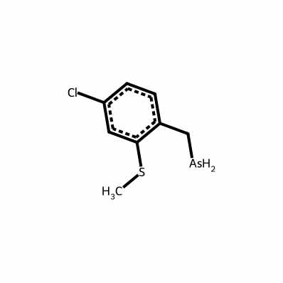 CSc1cc(Cl)ccc1C[AsH2]